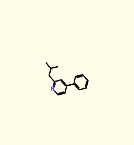 CC(C)Cc1cc(-c2ccccc2)ccn1